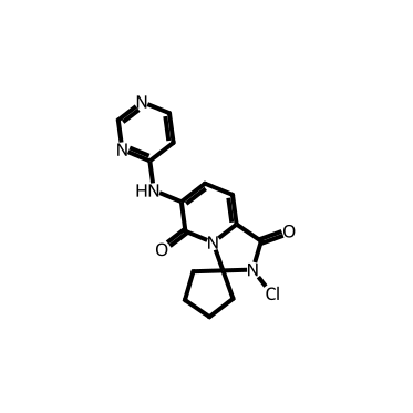 O=C1c2ccc(Nc3ccncn3)c(=O)n2C2(CCCC2)N1Cl